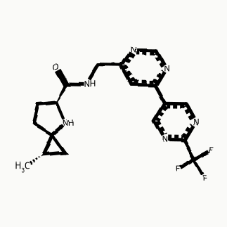 C[C@H]1CC12CC[C@@H](C(=O)NCc1cc(-c3cnc(C(F)(F)F)nc3)ncn1)N2